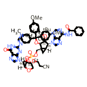 CC[C@@]12CO[C@@H]([C@H](n3cnc4c(=O)[nH]c(/N=C/N(C)C)nc43)O1)[C@@H]2OP(=O)(OCCC#N)OC[C@]12C[C@@H]1[C@@H](n1cnc3c(NC(=O)c4ccccc4)ncnc31)[C@H](O[Si](C)(C)C(C)(C)C)[C@@H]2OC(c1ccccc1)(c1ccc(OC)cc1)c1ccc(OC)cc1